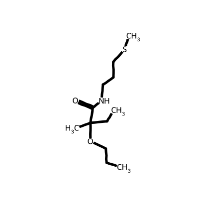 CCCOC(C)(CC)C(=O)NCCCSC